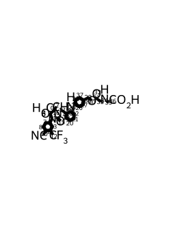 CC1(C)C(=O)N(c2ccc(C#N)c(C(F)(F)F)c2)C(=O)N1Cc1ccccc1Nc1ccc(COC(=O)CNCC(=O)O)cc1